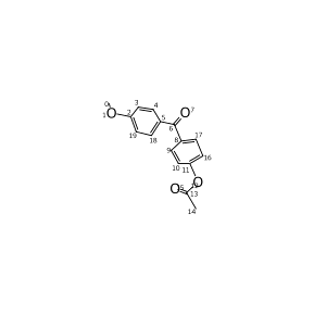 COc1ccc(C(=O)c2ccc(OC(C)=O)cc2)cc1